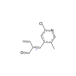 C=C/C(C=O)=C\c1cc(Cl)ncc1C